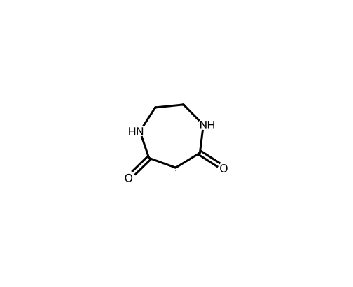 O=C1[CH]C(=O)NCCN1